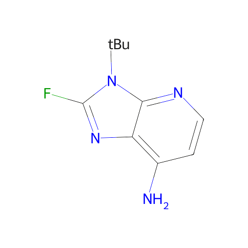 CC(C)(C)n1c(F)nc2c(N)ccnc21